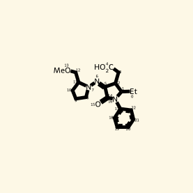 CCC1C(CC(=O)O)C(=NN2CCCC2COC)C(=O)N1c1ccccc1